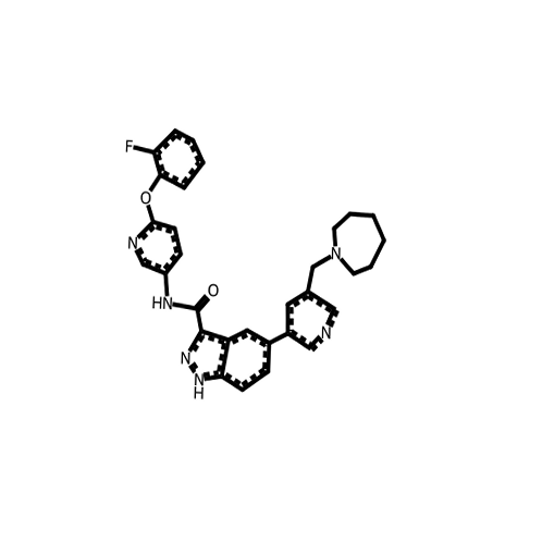 O=C(Nc1ccc(Oc2ccccc2F)nc1)c1n[nH]c2ccc(-c3cncc(CN4CCCCCC4)c3)cc12